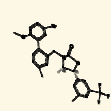 COc1ccc(Br)cc1-c1ccc(C)cc1CN1C(=O)O[C@H](c2cc(C)cc(C(F)(F)F)c2)[C@@H]1C